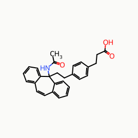 CC(=O)NC1(CCc2ccc(CCC(=O)O)cc2)c2ccccc2C=Cc2ccccc21